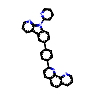 c1ccc(-n2c3ccc(-c4ccc(-c5ccc6ccc7cccnc7c6n5)cc4)cc3c3cccnc32)nc1